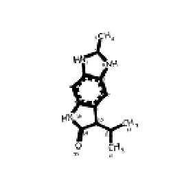 CC1Nc2cc3c(cc2N1)C(C(C)C)C(=O)N3